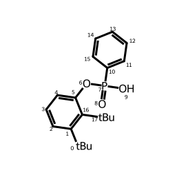 CC(C)(C)c1cccc(OP(=O)(O)c2ccccc2)c1C(C)(C)C